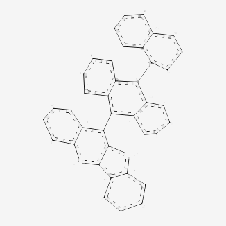 c1ccc2c(-c3c4ccccc4c(-c4c5ccccc5nc5c4oc4ccccc45)c4ccccc34)cccc2c1